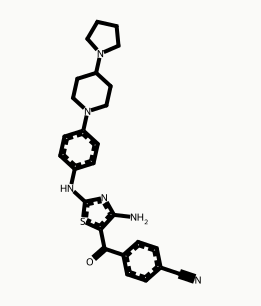 N#Cc1ccc(C(=O)c2sc(Nc3ccc(N4CCC(N5CCCC5)CC4)cc3)nc2N)cc1